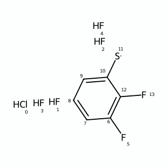 Cl.F.F.F.F.Fc1cccc([S])c1F